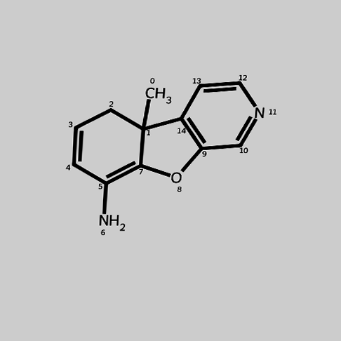 CC12CC=CC(N)=C1Oc1cnccc12